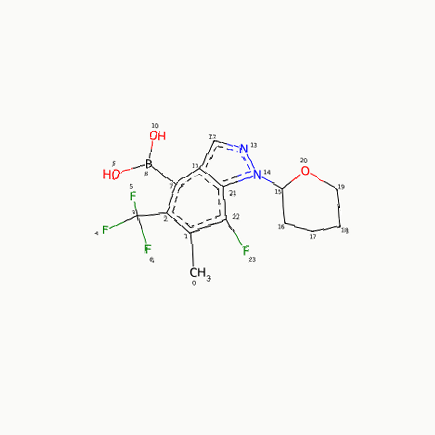 Cc1c(C(F)(F)F)c(B(O)O)c2cnn(C3CCCCO3)c2c1F